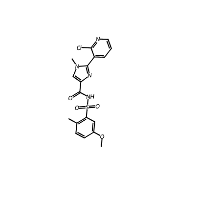 COc1ccc(C)c(S(=O)(=O)NC(=O)c2cn(C)c(-c3cccnc3Cl)n2)c1